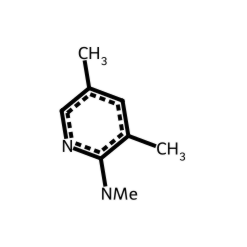 CNc1ncc(C)cc1C